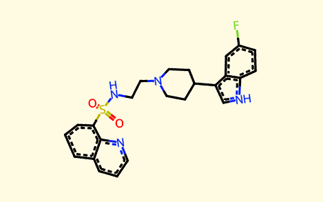 O=S(=O)(NCCN1CCC(c2c[nH]c3ccc(F)cc23)CC1)c1cccc2cccnc12